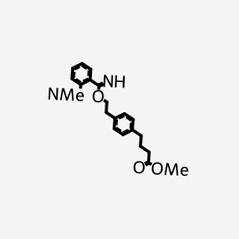 CNc1ccccc1C(=N)OCCc1ccc(CCCC(=O)OC)cc1